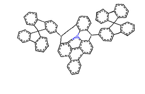 c1cc2c3c(c1)B(c1ccc4c(c1)C1(c5ccccc5-c5ccccc51)c1ccccc1-4)c1ccc4c5ccccc5c5ccc(c6c5c4c1n6-3)B2c1ccc2c(c1)C1(c3ccccc3-c3ccccc31)c1ccccc1-2